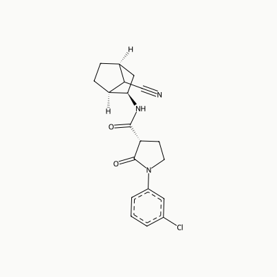 N#CC1[C@H]2CC[C@@H]1[C@H](NC(=O)[C@@H]1CCN(c3cccc(Cl)c3)C1=O)C2